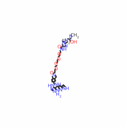 C=N/C=C(\C=N/CC/N=C\C(=C/N=C)C(=O)NCCOCCOCCOCCOCCC(=O)N1CCc2cc(CNc3ncnc(N)c3C(=N)c3cnc4[nH]ccc4c3)ccc2C1)CO